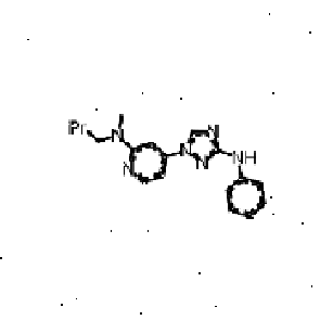 CC(C)CN(C)c1cc(-n2cnc(Nc3ccccc3)n2)ccn1